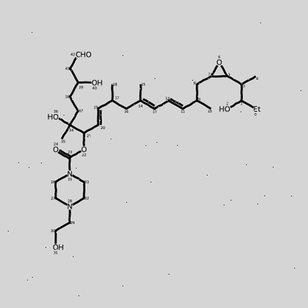 CCC(O)C(C)C1OC1CC(C)/C=C/C=C(\C)CC(C)/C=C/C(OC(=O)N1CCN(CCO)CC1)C(C)(O)CCC(O)CC=O